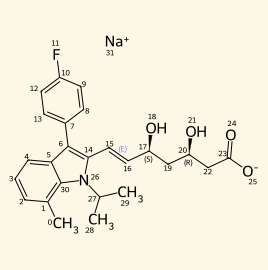 Cc1cccc2c(-c3ccc(F)cc3)c(/C=C/[C@@H](O)C[C@@H](O)CC(=O)[O-])n(C(C)C)c12.[Na+]